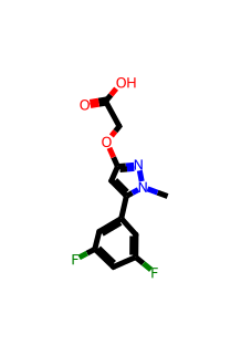 Cn1nc(OCC(=O)O)cc1-c1cc(F)cc(F)c1